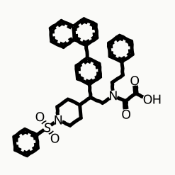 O=C(O)C(=O)N(CCc1ccccc1)CC(c1ccc(-c2cccc3ccccc23)cc1)C1CCN(S(=O)(=O)c2ccccc2)CC1